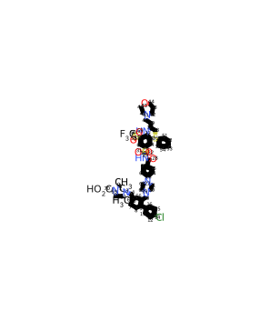 CC1CN(CC2(C)CCC(c3ccc(Cl)cc3)=C(CN3CCN(c4ccc(C(=O)NS(=O)(=O)c5ccc(NC(CCN6CCCOCC6)CSc6ccccc6)c(S(=O)(=O)C(F)(F)F)c5)cc4)CC3)C2)CCN1C(=O)O